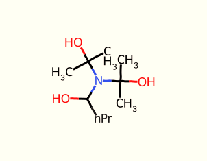 CCCC(O)N(C(C)(C)O)C(C)(C)O